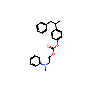 CC(Cc1ccccc1)c1ccc(OC(=O)OCCN(C)c2ccccc2)cc1